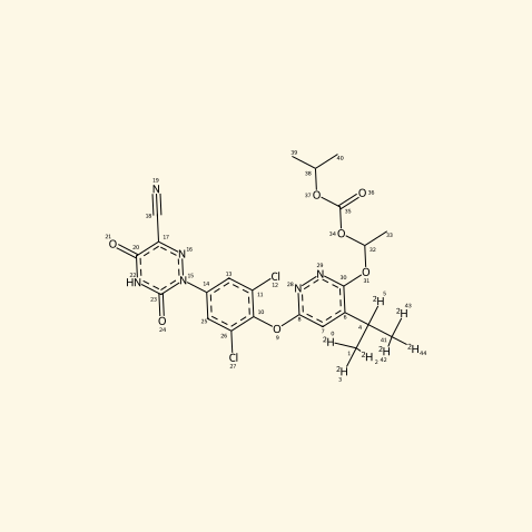 [2H]C([2H])([2H])C([2H])(c1cc(Oc2c(Cl)cc(-n3nc(C#N)c(=O)[nH]c3=O)cc2Cl)nnc1OC(C)OC(=O)OC(C)C)C([2H])([2H])[2H]